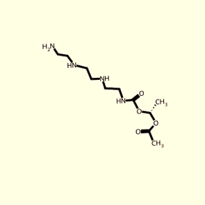 CC(=O)O[C@@H](C)OC(=O)NCCNCCNCCN